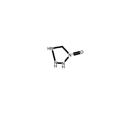 O=[N+]1CNNN1